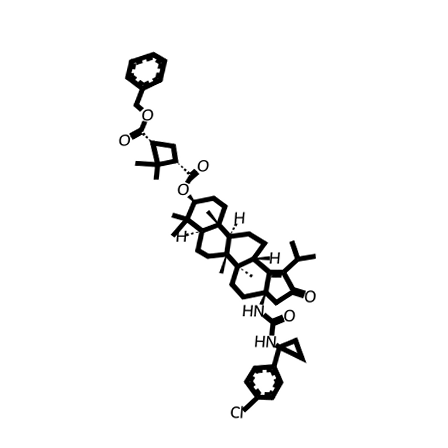 CC(C)C1=C2[C@H]3CC[C@@H]4[C@@]5(C)CC[C@H](OC(=O)[C@H]6C[C@@H](C(=O)OCc7ccccc7)C6(C)C)C(C)(C)[C@@H]5CC[C@@]4(C)[C@]3(C)CC[C@@]2(NC(=O)NC2(c3ccc(Cl)cc3)CC2)CC1=O